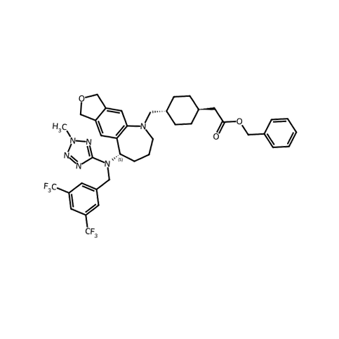 Cn1nnc(N(Cc2cc(C(F)(F)F)cc(C(F)(F)F)c2)[C@H]2CCCN(C[C@H]3CC[C@H](CC(=O)OCc4ccccc4)CC3)c3cc4c(cc32)COC4)n1